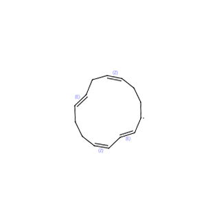 [CH]1/C=C/C=C\CC/C=C/C/C=C\CC1